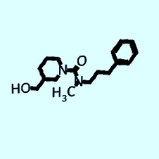 CN(CCCc1ccccc1)C(=O)N1CCCC(CO)C1